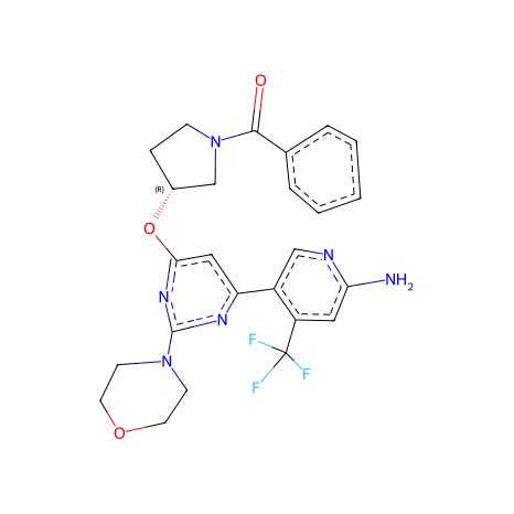 Nc1cc(C(F)(F)F)c(-c2cc(O[C@@H]3CCN(C(=O)c4ccccc4)C3)nc(N3CCOCC3)n2)cn1